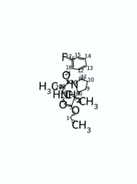 CCOC(=O)C(C)(C)[C@H]1CC[C@@H](c2cccc(F)c2)N1C(=O)[C@@H](C)N